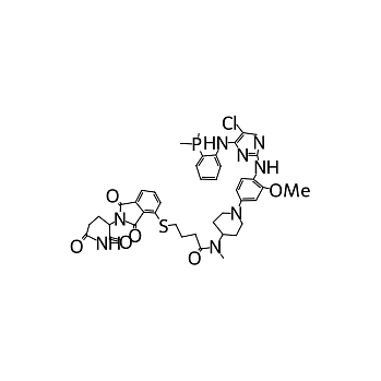 COc1cc(N2CCC(N(C)C(=O)CCCSc3cccc4c3C(=O)N(C3CCC(=O)NC3=O)C4=O)CC2)ccc1Nc1ncc(Cl)c(Nc2ccccc2P(C)C)n1